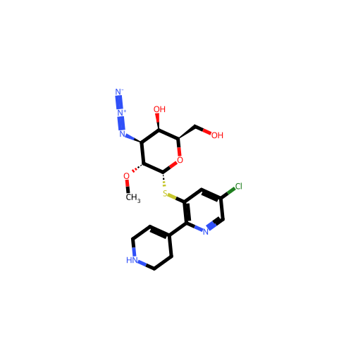 CO[C@@H]1[C@@H](N=[N+]=[N-])[C@@H](O)[C@@H](CO)O[C@@H]1Sc1cc(Cl)cnc1C1=CCNCC1